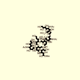 COC(O)C(O)C(O)C(CCO)OC(OC)C(O)C(O[C@]1(C(=O)O)CC(O)C(NC(C)=O)C(C(O)[C@H](O)CO)O1)C(CCO)O[C@H](OC)C(NC(C)=O)C(O[C@H](OC)C(O)C(O[C@]1(C(=O)O)CC(O)C(NC(C)=O)C(C[C@@H](CO)O[C@]2(C(=O)O)CC(O)[C@@H](NC(C)=O)C(C(O)[C@H](O)CO)O2)O1)C(O)CCO)C(O)CCO